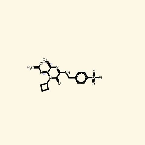 C=C(Cl)/N=C1\C(=C/C)N=C(NCc2ccc(S(=O)(=O)CC)cc2)C(=O)N1C1CCC1